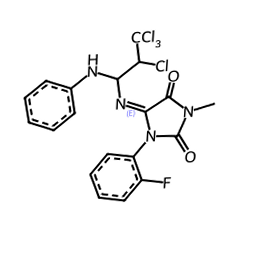 CN1C(=O)/C(=N\C(Nc2ccccc2)C(Cl)C(Cl)(Cl)Cl)N(c2ccccc2F)C1=O